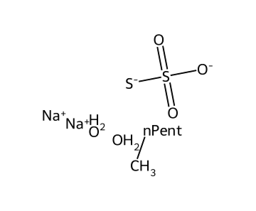 CCCCCC.O.O.O=S(=O)([O-])[S-].[Na+].[Na+]